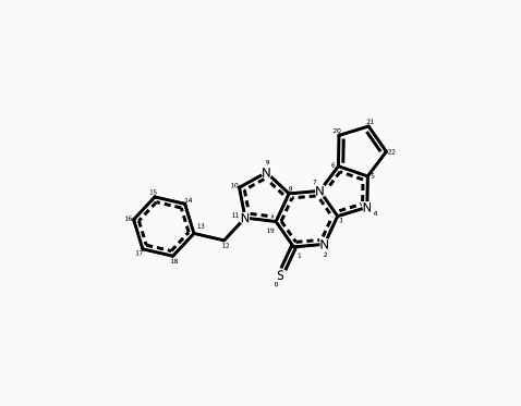 S=c1nc2nc3c(n2c2ncn(Cc4ccccc4)c12)=CC=C3